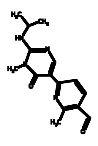 Cc1nc(-c2cnc(NC(C)C)n(C)c2=O)ccc1C=O